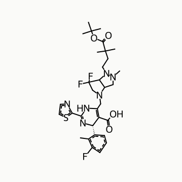 Cc1c(F)cccc1[C@@H]1N=C(c2nccs2)NC(CN2CC(F)(F)C3C2CN(C)N3CCC(C)(C)C(=O)OC(C)(C)C)=C1C(=O)O